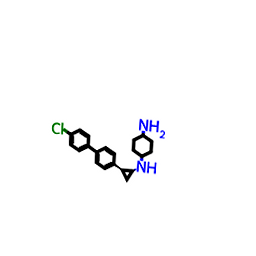 NC1CCC(N[C@@H]2C[C@H]2c2ccc(-c3ccc(Cl)cc3)cc2)CC1